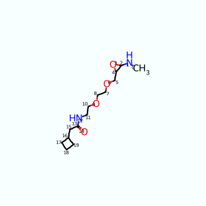 CNC1OC1COCCOCCNC(=O)CC1CCC1